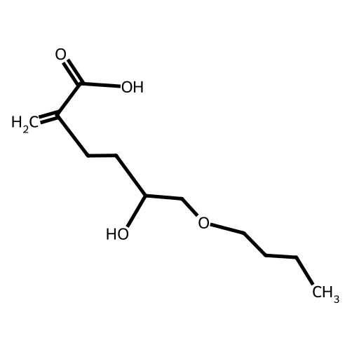 C=C(CCC(O)COCCCC)C(=O)O